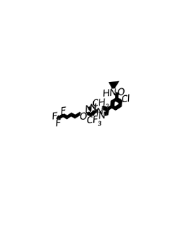 Cn1nc(OCCCCC(F)C(F)F)c(C(F)(F)F)c1-n1cc(-c2ccc(Cl)c(C(=O)NC3CC3)c2)cn1